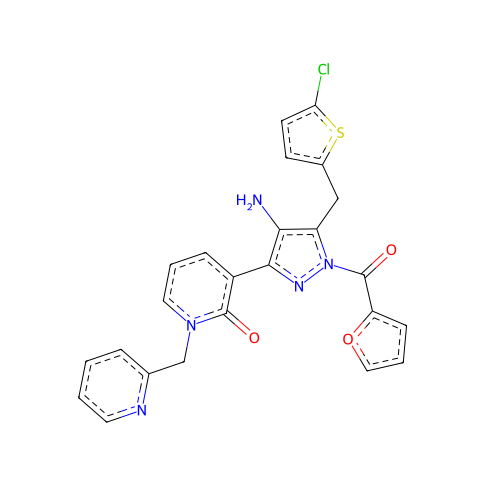 Nc1c(-c2cccn(Cc3ccccn3)c2=O)nn(C(=O)c2ccco2)c1Cc1ccc(Cl)s1